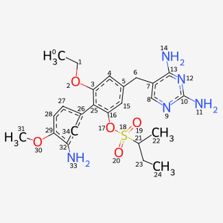 CCOc1cc(Cc2cnc(N)nc2N)cc(OS(=O)(=O)C(C)CC)c1-c1ccc(OC)c(N)c1